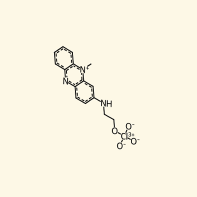 C[n+]1c2ccccc2nc2ccc(NCCO[Cl+3]([O-])([O-])[O-])cc21